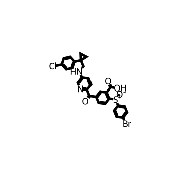 O=C(c1ccc([S+]([O-])c2ccc(Br)cc2)c(C(=O)O)c1)c1ccc(NCC2(c3ccc(Cl)cc3)CC2)cn1